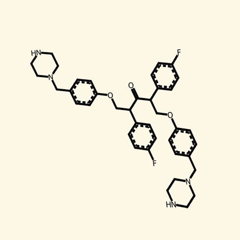 O=C(C(COc1ccc(CN2CCNCC2)cc1)c1ccc(F)cc1)C(COc1ccc(CN2CCNCC2)cc1)c1ccc(F)cc1